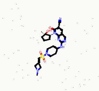 CN1CC(=CS(=O)(=O)N2CCC(Nc3ncc4cc(C#N)c(=O)n([C@@H]5CCC[C@@]5(C)O)c4n3)CC2)C1